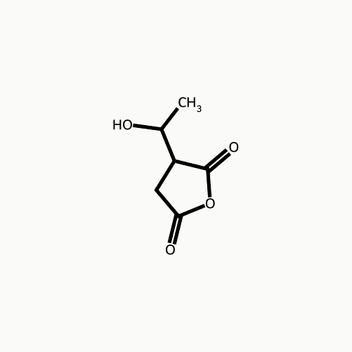 CC(O)C1CC(=O)OC1=O